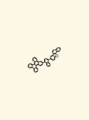 c1ccc2c(c1)ccc1c3cc(-c4ccc(-c5ccc6c(c5)c5ccccc5c5c7ccccc7c7ccccc7c65)c5ccccc45)ccc3oc21